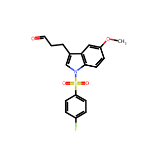 COc1ccc2c(c1)c(CCC=O)cn2S(=O)(=O)c1ccc(F)cc1